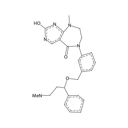 CNCCC(OCc1cccc(N2CCN(C)c3nc(O)ncc3C2=O)c1)c1ccccc1